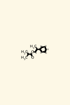 C=C(C)C(=O)OC=C(C)c1ccccc1